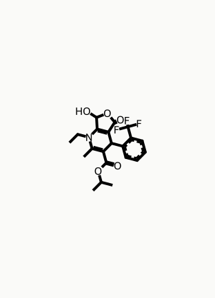 CCN1C(C)=C(C(=O)OC(C)C)C(c2ccccc2C(F)(F)F)C2=C1C(O)OC2=O